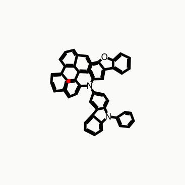 c1ccc(-c2cccc3cccc(-c4ccccc4N(c4ccc5oc6ccccc6c5c4)c4ccc5c(c4)c4ccccc4n5-c4ccccc4)c23)cc1